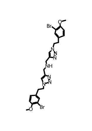 COc1ccc(CCn2cc(CNCc3cn(CCc4ccc(OC)c(Br)c4)nn3)nn2)cc1Br